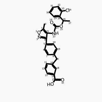 Cc1onc(-c2ccc(Cc3cccc(C(=O)O)c3)cc2)c1NC(=O)OC(C)c1ccccc1Cl